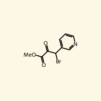 COC(=O)C(=O)C(Br)c1cccnc1